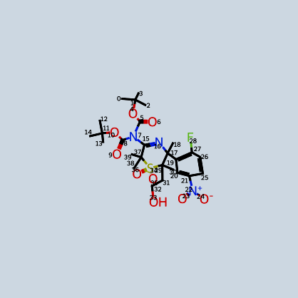 CC(C)(C)OC(=O)N(C(=O)OC(C)(C)C)C1=NC(C)(c2cc([N+](=O)[O-])ccc2F)C(C)(CCO)S(=O)(=O)C1(C)C